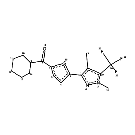 Cc1c(-c2ccc(C(=O)C3CCCCC3)s2)nn(C)c1C(F)(F)F